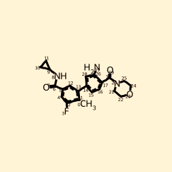 Cc1c(F)cc(C(=O)NC2CC2)cc1-c1ccc(C(=O)N2CCOCC2)c(N)c1